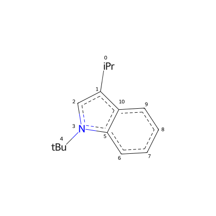 CC(C)c1cn(C(C)(C)C)c2ccccc12